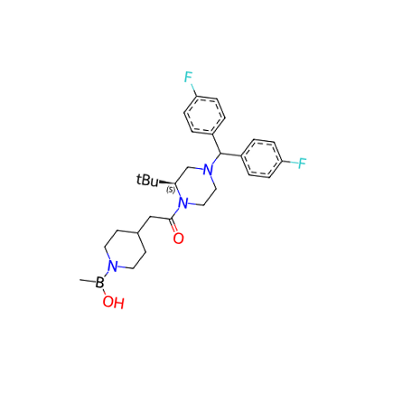 CB(O)N1CCC(CC(=O)N2CCN(C(c3ccc(F)cc3)c3ccc(F)cc3)C[C@@H]2C(C)(C)C)CC1